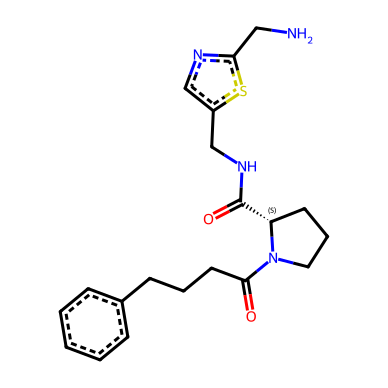 NCc1ncc(CNC(=O)[C@@H]2CCCN2C(=O)CCCc2ccccc2)s1